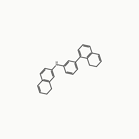 C1=Cc2ccc(Nc3cccc(-c4cccc5c4CCC=C5)c3)cc2CC1